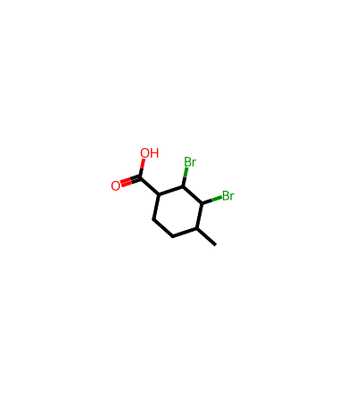 CC1CCC(C(=O)O)C(Br)C1Br